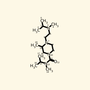 CC(C)N(C)CCN1CCN(C(=O)N(C)C(C)C)CC1C